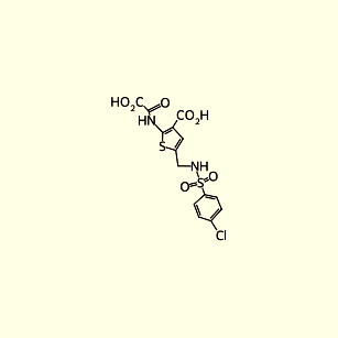 O=C(O)C(=O)Nc1sc(CNS(=O)(=O)c2ccc(Cl)cc2)cc1C(=O)O